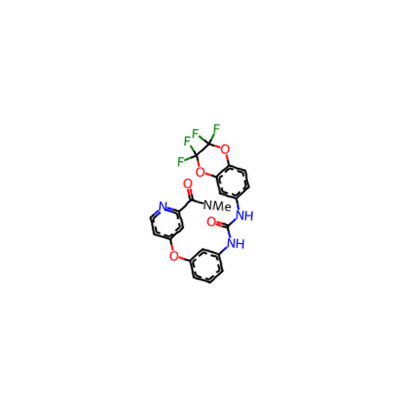 CNC(=O)c1cc(Oc2cccc(NC(=O)Nc3ccc4c(c3)OC(F)(F)C(F)(F)O4)c2)ccn1